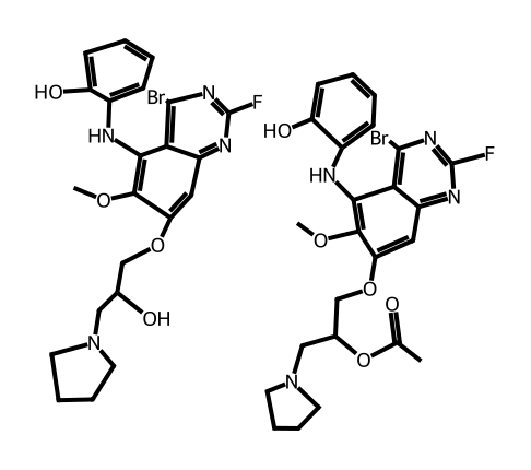 COc1c(OCC(CN2CCCC2)OC(C)=O)cc2nc(F)nc(Br)c2c1Nc1ccccc1O.COc1c(OCC(O)CN2CCCC2)cc2nc(F)nc(Br)c2c1Nc1ccccc1O